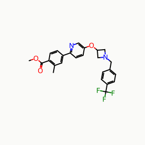 COC(=O)c1ccc(-c2ccc(OC3CN(Cc4ccc(C(F)(F)F)cc4)C3)cn2)cc1C